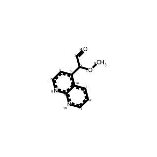 COC(C=O)c1ccnc2ncccc12